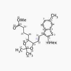 CCCCCCc1sc2cc(C)ccc2c1/C=C/C1OC(C)(C)OC1CCCC(=O)OC